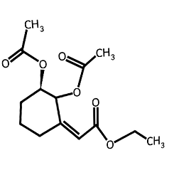 CCOC(=O)/C=C1/CCC[C@@H](OC(C)=O)C1OC(C)=O